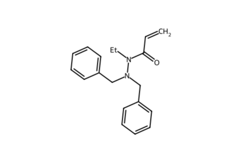 C=CC(=O)N(CC)N(Cc1ccccc1)Cc1ccccc1